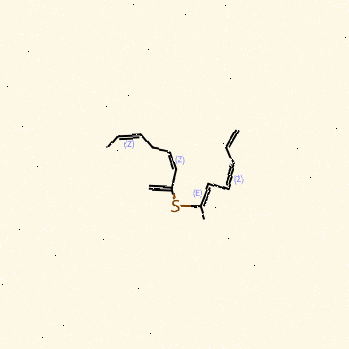 C=C/C=C\C=C(/C)SC(=C)/C=C\C/C=C\C